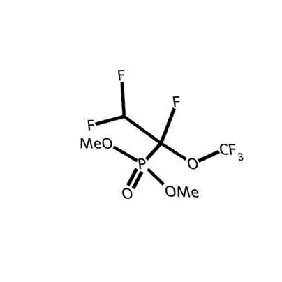 COP(=O)(OC)C(F)(OC(F)(F)F)C(F)F